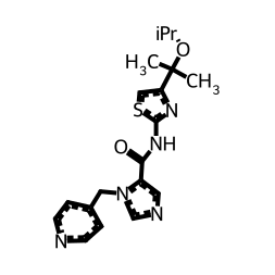 CC(C)OC(C)(C)c1csc(NC(=O)c2cncn2Cc2ccncc2)n1